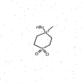 CCCC[N+]1(C)CCS(=O)(=O)CC1